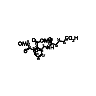 COC(=O)C1=C(C(=O)OC)[C@]2(CNC(=O)CCCC(=O)O)C=CC1O2